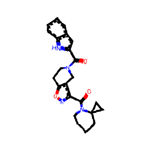 O=C(c1cc2ccccc2[nH]1)N1CCc2onc(C(=O)N3CCCCC34CC4)c2C1